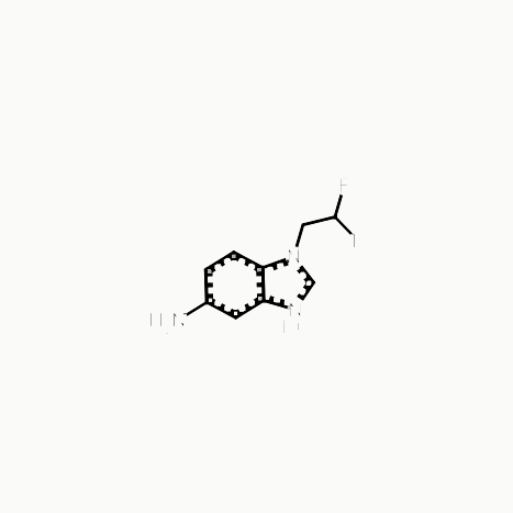 Cl.Nc1ccc2c(c1)ncn2CC(F)F